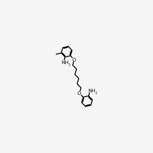 Cc1cccc(OCCCCCCOc2ccccc2N)c1N